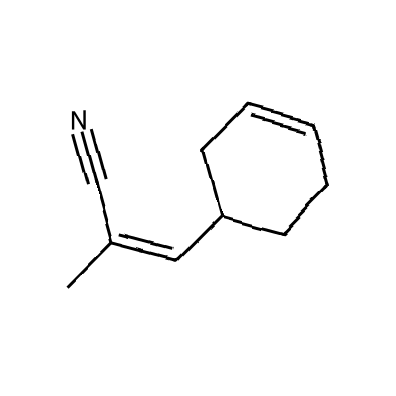 CC(C#N)=CC1CC=CCC1